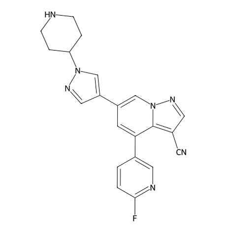 N#Cc1cnn2cc(-c3cnn(C4CCNCC4)c3)cc(-c3ccc(F)nc3)c12